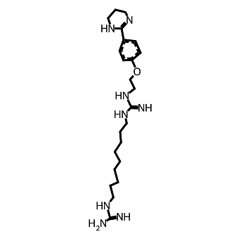 N=C(N)NCCCCCCCCCNC(=N)NCCOc1ccc(C2=NCCCN2)cc1